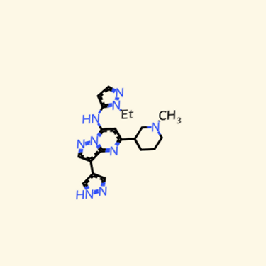 CCn1nccc1Nc1cc(C2CCCN(C)C2)nc2c(-c3cn[nH]c3)cnn12